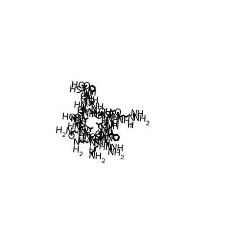 CC(C)C[C@H](NC(=O)[C@H](CCCCN)NC(=O)[C@H](CCCCN)NC(=O)[C@H](CCCNC(=N)N)NC(=O)[C@H](CC(C)C)NC(=O)[C@H](Cc1c[nH]c2ccccc12)NC(=O)[C@H](CCC(=O)O)NC(=O)[C@@H](NC(=O)[C@@H](N)CCCNC(=N)N)C(C)C)C(=O)N[C@@H](CCC(N)=O)C(=O)N[C@@H](CC(=O)O)C(=O)N[C@H](C(=O)N[C@@H](Cc1c[nH]cn1)C(=O)N[C@@H](CC(N)=O)C(=O)N[C@@H](Cc1ccccc1)C(=O)N[C@@H](CS)C(=O)O)C(C)C